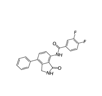 O=C(Nc1ccc(-c2ccccc2)c2c1C(=O)NC2)c1ccc(F)c(F)c1